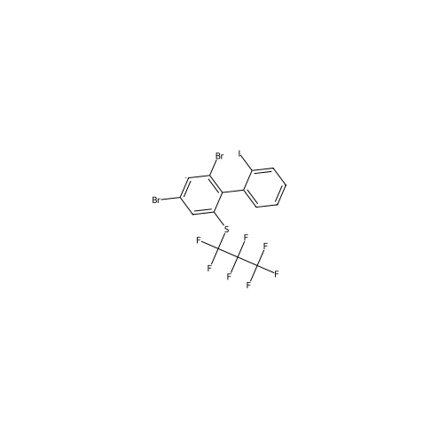 FC(F)(F)C(F)(F)C(F)(F)Sc1cc(Br)[c]c(Br)c1-c1ccccc1I